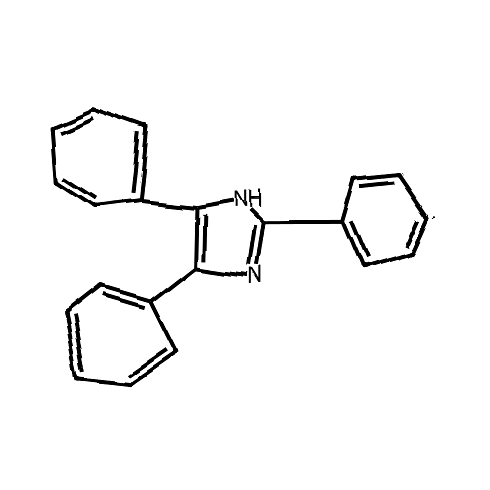 [c]1ccc(-c2nc(-c3ccccc3)c(-c3ccccc3)[nH]2)cc1